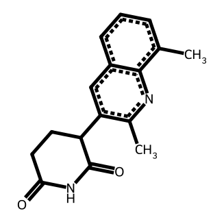 Cc1nc2c(C)cccc2cc1C1CCC(=O)NC1=O